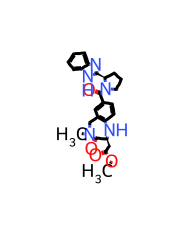 COC(=O)C[C@@H]1Nc2ccc(C(=O)N3CCC[C@@H]3c3nc4ccccc4[nH]3)cc2CN(C)C1=O